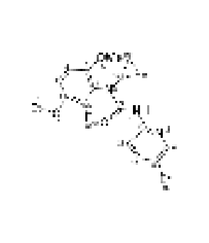 CCOc1ccc(OC)c(N(C(=O)Nc2ccc(Br)cn2)C2CC2)c1F